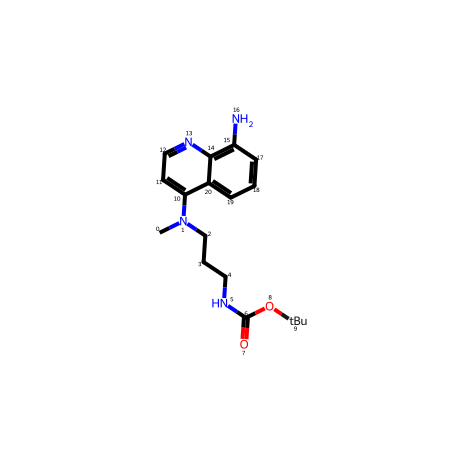 CN(CCCNC(=O)OC(C)(C)C)c1ccnc2c(N)cccc12